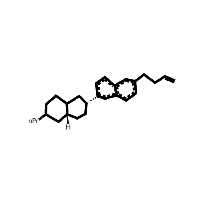 C=CCCc1ccc2cc([C@@H]3CC[C@@H]4CC(CCC)CCC4C3)ccc2c1